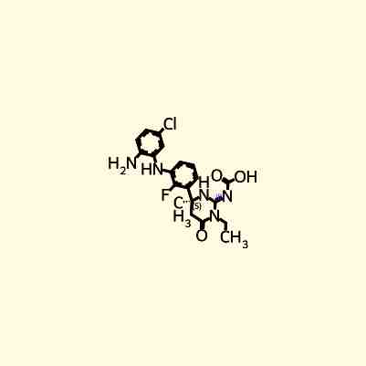 CCN1C(=O)C[C@@](C)(c2cccc(Nc3cc(Cl)ccc3N)c2F)N/C1=N\C(=O)O